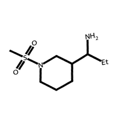 CCC(N)C1CCCN(S(C)(=O)=O)C1